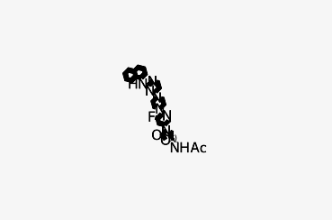 CC(=O)NC[C@H]1CN(c2cnc(N3CCN(c4ccnc(Nc5cccc6ccccc56)n4)CC3)c(F)c2)C(=O)O1